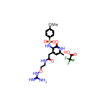 COc1ccc(S(=O)(=O)Nc2c(CC(=O)NCCONC(=N)N)cc(C)[nH]c2=O)cc1.O=C(O)C(F)(F)F